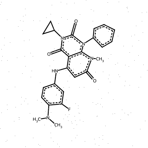 CN(C)c1ccc(Nc2cc(=O)n(C)c3c2c(=O)n(C2CC2)c(=O)n3-c2ccccc2)cc1F